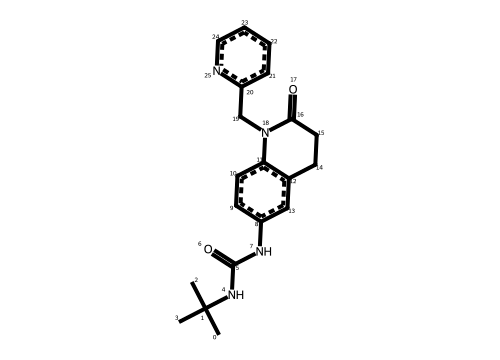 CC(C)(C)NC(=O)Nc1ccc2c(c1)CCC(=O)N2Cc1ccccn1